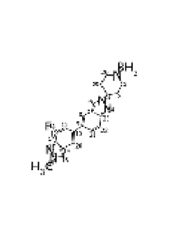 BN1CCC(n2cc3cc(-c4cc(F)c5nn(C)cc5c4)ccc3n2)CC1